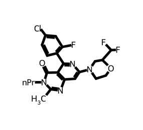 CCCn1c(C)nc2cc(N3CCOC(C(F)F)C3)nc(-c3ccc(Cl)cc3F)c2c1=O